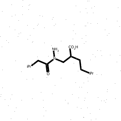 CC(C)CCC(CN(N)C(=O)CC(C)C)C(=O)O